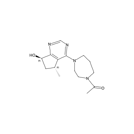 CC(=O)N1CCCN(c2ncnc3c2[C@H](C)C[C@H]3O)CC1